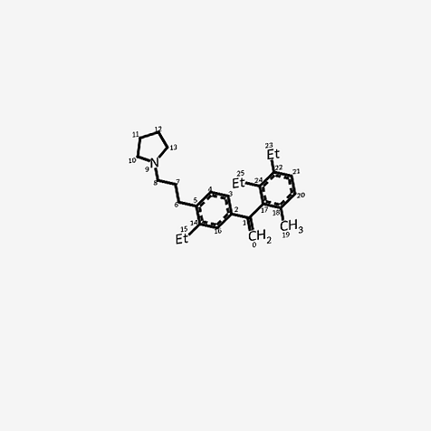 C=C(c1ccc(CCCN2CCCC2)c(CC)c1)c1c(C)ccc(CC)c1CC